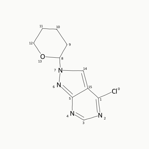 Clc1ncnc2nn(C3CCCCO3)cc12